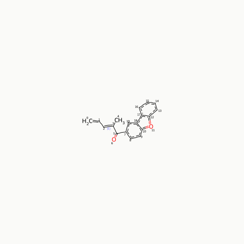 C=C/C=C(\C)C(=O)c1ccc2oc3ccccc3c2c1